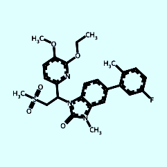 CCOc1nc(C(CS(C)(=O)=O)n2c(=O)n(C)c3cc(-c4cc(F)ccc4C)ccc32)ccc1OC